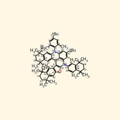 Cc1cc(C(C)(C)C)cc(C)c1N1c2cc3c(cc2B2c4c(cc(C(C)(C)C)cc41)N(c1ccc4c(c1)C(C)(C)CCC4(C)C)c1oc4cc5c(cc4c12)C(C)(C)CCC5(C)C)C(C)(C)CCC3(C)C